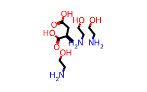 C=C(CC(=O)O)C(=O)O.NCCO.NCCO.NCCO